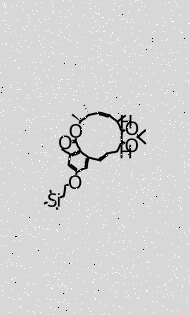 Cc1cc(OCC[Si](C)(C)C)cc2c1C(=O)O[C@@H](C)[C@H](C)/C=C\C(C)[C@H]1OC(C)(C)O[C@H]1C/C=C/2